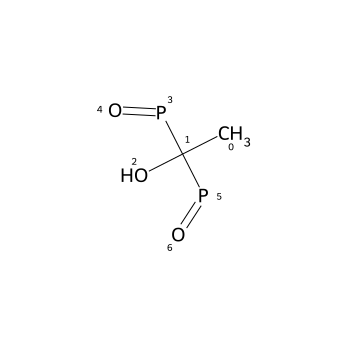 CC(O)(P=O)P=O